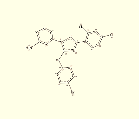 Nc1cccc(-n2cc(-c3ccc(Cl)cc3Cl)nc2Cc2ccc(Br)cc2)c1